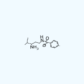 CC(C)C(N)CCNS(=O)(=O)c1cc[c]cc1